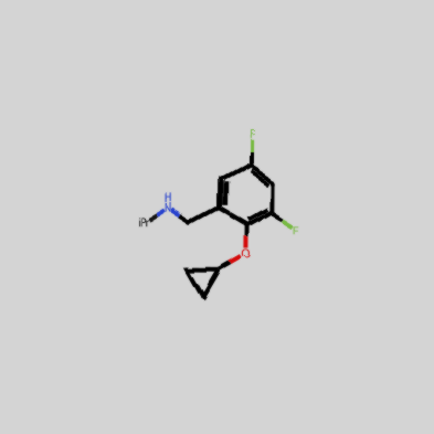 CC(C)NCc1cc(F)cc(F)c1OC1CC1